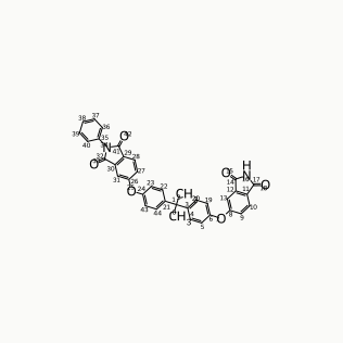 CC(C)(c1ccc(Oc2ccc3c(c2)C(=O)NC3=O)cc1)c1ccc(Oc2ccc3c(c2)C(=O)N(c2ccccc2)C3=O)cc1